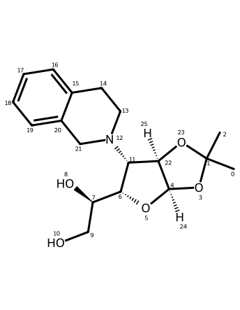 CC1(C)O[C@H]2O[C@H]([C@H](O)CO)[C@H](N3CCc4ccccc4C3)[C@H]2O1